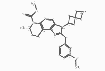 COC(=O)N1c2ccc3c(nc(Cc4cccc(OC)c4)n3C3CC4(CNC4)C3)c2CC[C@@H]1C